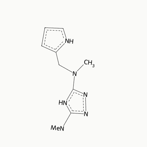 CNc1nnc(N(C)Cc2ccc[nH]2)[nH]1